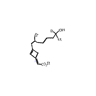 CCOC(=O)/C=C1/C=C(CC(CC)CCCC(O)(CC)CC)C1